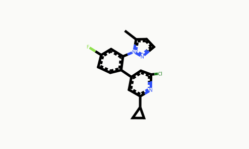 Cc1ccnn1-c1cc(F)ccc1-c1cc(Cl)nc(C2CC2)c1